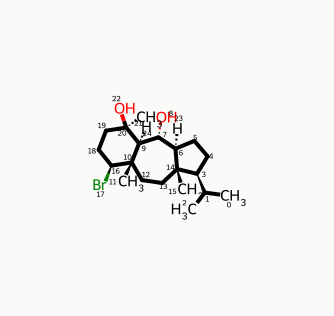 CC(C)[C@@H]1CC[C@@H]2[C@@H](O)[C@H]3[C@](C)(CC[C@]21C)[C@@H](Br)CC[C@@]3(C)O